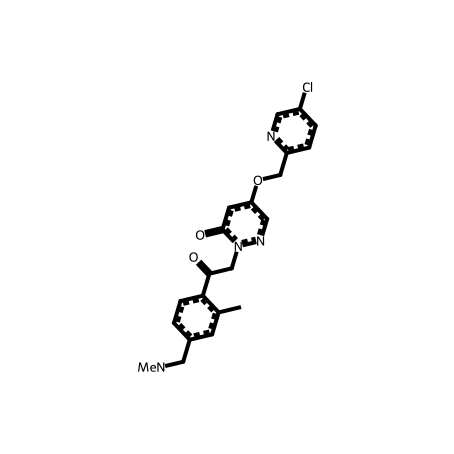 CNCc1ccc(C(=O)Cn2ncc(OCc3ccc(Cl)cn3)cc2=O)c(C)c1